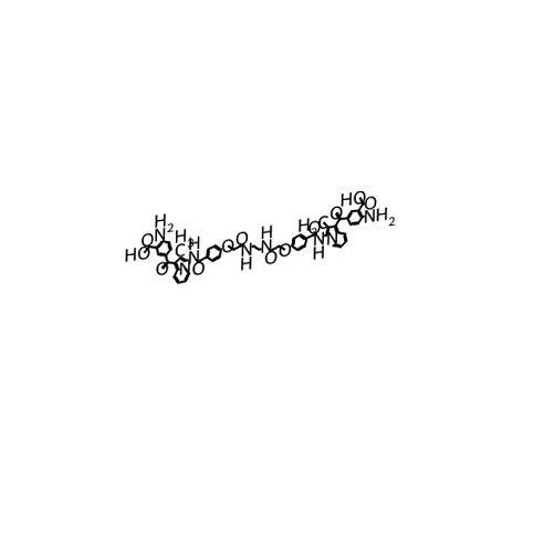 Cc1c(C(=O)c2ccc(N)c(C(=O)O)c2)c2ccccn2c1NC(=O)c1ccc(OCC(=O)NCCNC(=O)COc2ccc(C(=O)Nc3c(C)c(C(=O)c4ccc(N)c(C(=O)O)c4)c4ccccn34)cc2)cc1